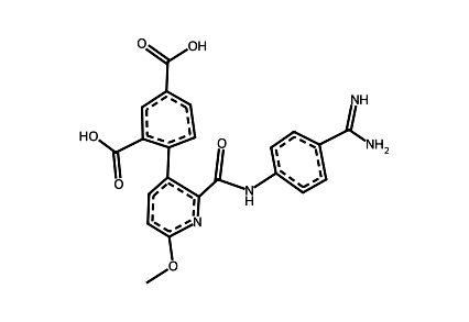 COc1ccc(-c2ccc(C(=O)O)cc2C(=O)O)c(C(=O)Nc2ccc(C(=N)N)cc2)n1